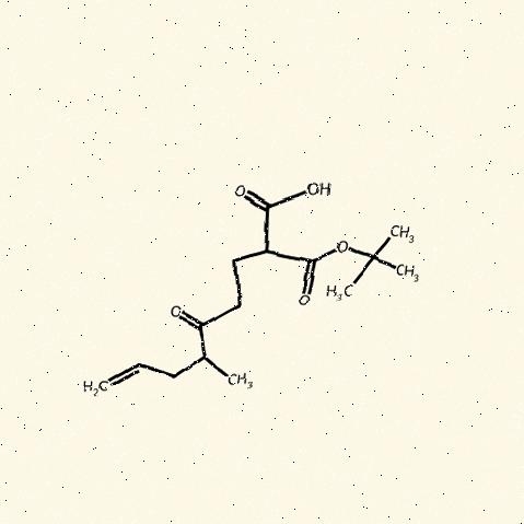 C=CCC(C)C(=O)CCC(C(=O)O)C(=O)OC(C)(C)C